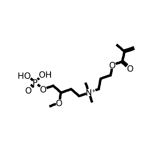 C=C(C)C(=O)OCCC[N+](C)(C)CCC(COP(=O)(O)O)OC